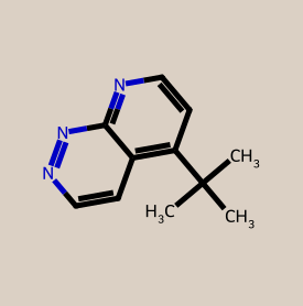 CC(C)(C)c1ccnc2nnccc12